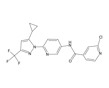 O=C(Nc1ccc(-n2nc(C(F)(F)F)cc2C2CC2)nc1)c1ccnc(Cl)c1